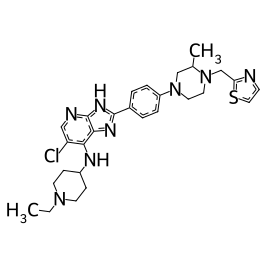 CCN1CCC(Nc2c(Cl)cnc3[nH]c(-c4ccc(N5CCN(Cc6nccs6)C(C)C5)cc4)nc23)CC1